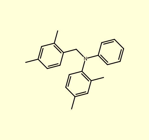 Cc1ccc(CN(c2ccccc2)c2ccc(C)cc2C)c(C)c1